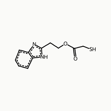 O=C(CS)OCCc1nc2ccccc2[nH]1